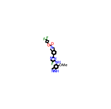 COc1cc2[nH]ncc2cc1Nc1nc(-c2ccc3c(c2)CN(C(=O)OC2CC(F)(F)C2)C3)ncc1F